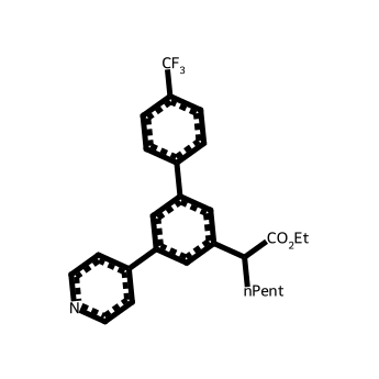 CCCCCC(C(=O)OCC)c1cc(-c2ccncc2)cc(-c2ccc(C(F)(F)F)cc2)c1